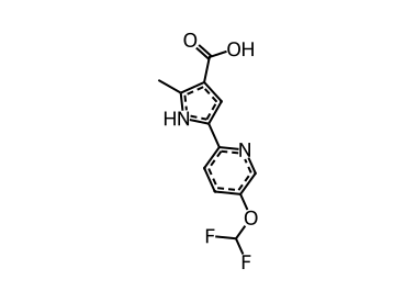 Cc1[nH]c(-c2ccc(OC(F)F)cn2)cc1C(=O)O